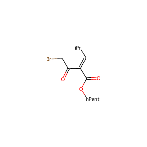 CCCCCOC(=O)C(=CC(C)C)C(=O)CBr